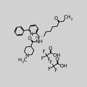 CCC(=O)CCCCC[C@H](NC(=O)C1CCN(C)CC1)c1cccc(-c2ccccc2)n1.O=C(O)C(F)(F)F.O=C(O)C(F)(F)F